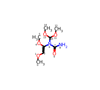 COC=C(OC)N(C(N)=O)C(OC)OC